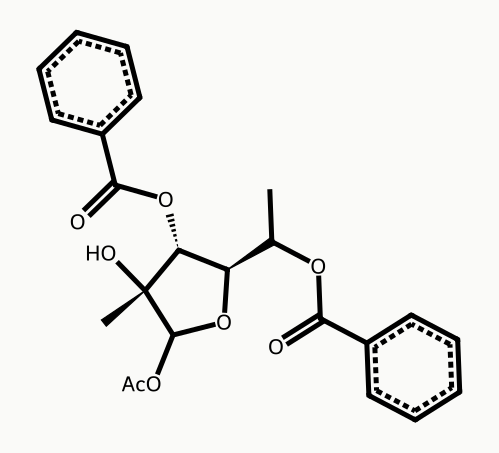 CC(=O)OC1O[C@H](C(C)OC(=O)c2ccccc2)[C@@H](OC(=O)c2ccccc2)[C@@]1(C)O